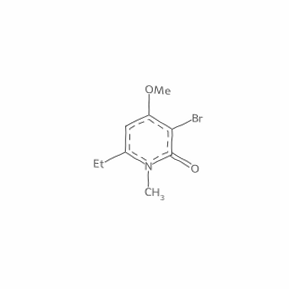 CCc1cc(OC)c(Br)c(=O)n1C